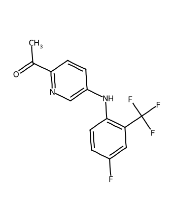 CC(=O)c1ccc(Nc2ccc(F)cc2C(F)(F)F)cn1